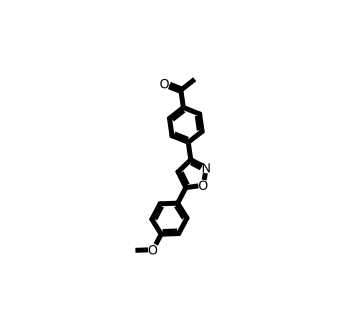 COc1ccc(-c2cc(-c3ccc(C(C)=O)cc3)no2)cc1